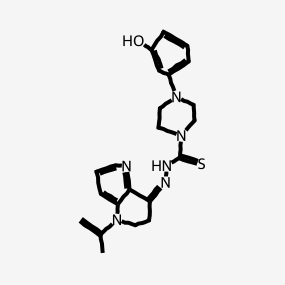 C=C(C)N1CC/C(=N/NC(=S)N2CCN(c3cccc(O)c3)CC2)c2ncccc21